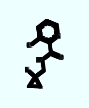 O=C(NCC1(F)CC1)c1ncccc1Cl